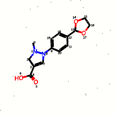 CN1CC(C(=O)O)=CN1c1ccc(C2OCCO2)cc1